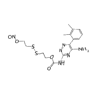 Cc1cccc(-c2nnc(NC(=O)OCCSSCCON=O)nc2N)c1C